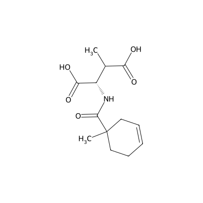 CC(C(=O)O)[C@H](NC(=O)C1(C)CC=CCC1)C(=O)O